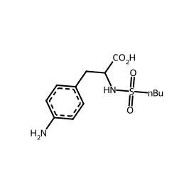 CCCCS(=O)(=O)NC(Cc1ccc(N)cc1)C(=O)O